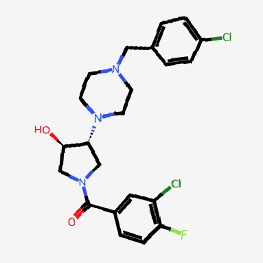 O=C(c1ccc(F)c(Cl)c1)N1C[C@@H](O)[C@H](N2CCN(Cc3ccc(Cl)cc3)CC2)C1